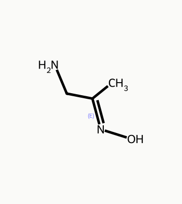 C/C(CN)=N\O